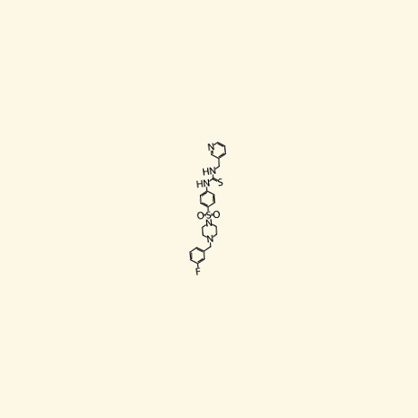 O=S(=O)(c1ccc(NC(=S)NCc2cccnc2)cc1)N1CCN(Cc2cccc(F)c2)CC1